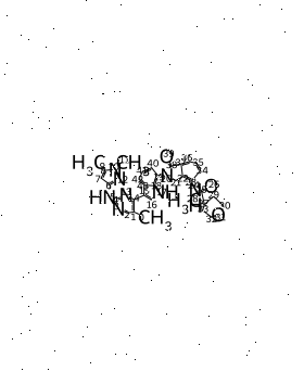 Cc1cnc(Nc2cc(C)n(C)n2)nc1-c1c[nH]c2c(N3Cc4c(NC(=O)C5(C)CCOCC5)cccc4C3=O)cccc12